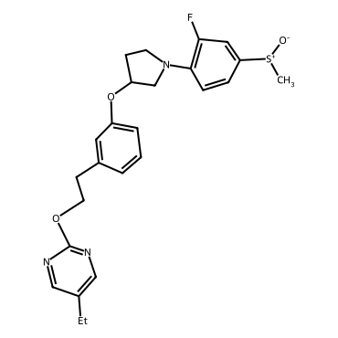 CCc1cnc(OCCc2cccc(OC3CCN(c4ccc([S+](C)[O-])cc4F)C3)c2)nc1